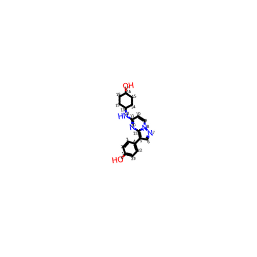 Oc1ccc(-c2cnn3ccc(NC4CCC(O)CC4)nc23)cc1